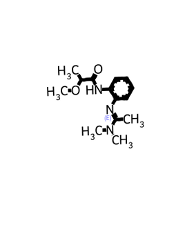 COC(C)C(=O)Nc1ccccc1/N=C(\C)N(C)C